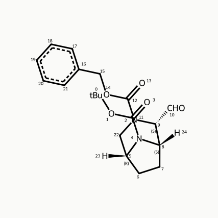 CC(C)(C)OC(=O)N1[C@@H]2CC[C@H]1[C@@H](C=O)N(C(=O)OCc1ccccc1)C2